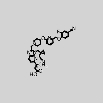 C/C(=C\C(=O)O)c1ccc2nc(CN3CCC(Oc4cccc(COc5ccc(C#N)cc5F)n4)CC3)n(CC3(CC#N)CC3)c2n1